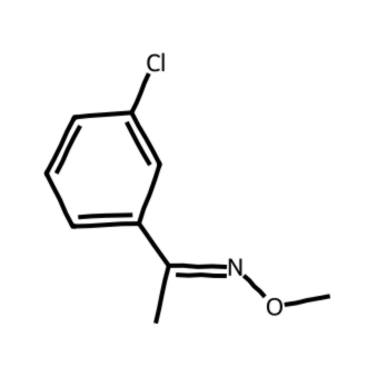 CON=C(C)c1cccc(Cl)c1